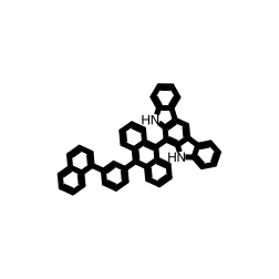 c1cc(-c2cccc3ccccc23)cc(-c2c3ccccc3c(-c3c4[nH]c5ccccc5c4cc4c3[nH]c3ccccc34)c3ccccc23)c1